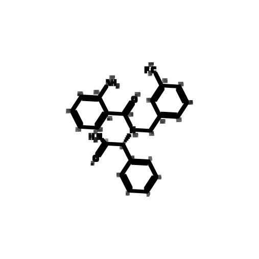 NC(=O)[C@@H](c1ccccc1)N(Cc1cccc(C(F)(F)F)c1)C(=O)c1ccccc1N